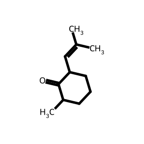 CC(C)=CC1CCCC(C)C1=O